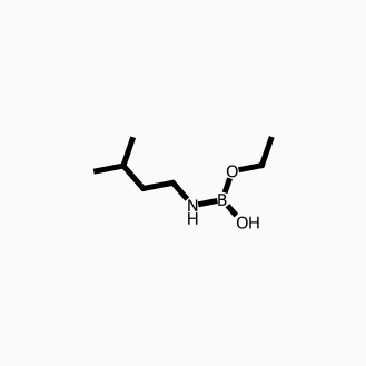 CCOB(O)NCCC(C)C